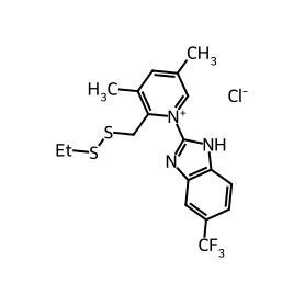 CCSSCc1c(C)cc(C)c[n+]1-c1nc2cc(C(F)(F)F)ccc2[nH]1.[Cl-]